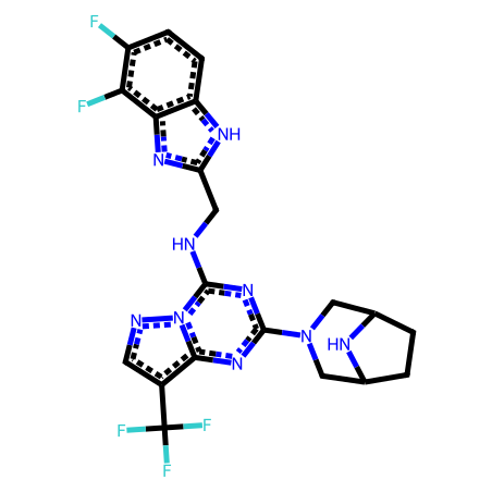 Fc1ccc2[nH]c(CNc3nc(N4CC5CCC(C4)N5)nc4c(C(F)(F)F)cnn34)nc2c1F